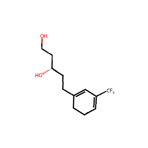 OCC[C@@H](O)CCC1=CC(C(F)(F)F)=CCC1